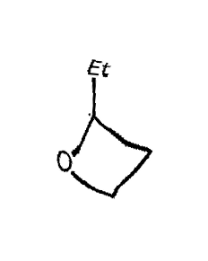 CC[C]1CCO1